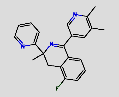 Cc1cc(C2=NC(C)(c3ccccn3)Cc3c(F)cccc32)cnc1C